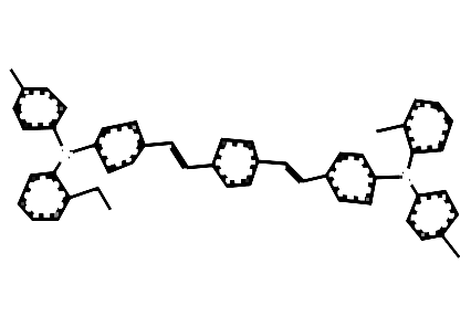 CCc1ccccc1N(c1ccc(C)cc1)c1ccc(C=Cc2ccc(C=Cc3ccc(N(c4ccc(C)cc4)c4ccccc4C)cc3)cc2)cc1